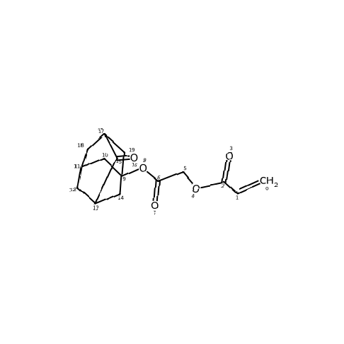 C=CC(=O)OCC(=O)OC12CC3CC(C1)C(=O)C(C3)C2